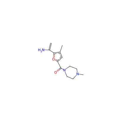 C=C(N)c1oc(C(=O)N2CCN(C)CC2)cc1C